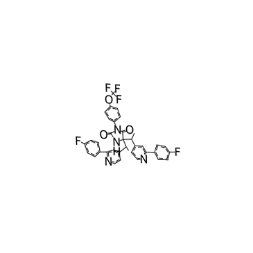 CC(c1ccnc(-c2ccc(F)cc2)c1)C1(C(C)c2ccnc(-c3ccc(F)cc3)c2)NC(=O)N(c2ccc(OC(F)(F)F)cc2)C1=O